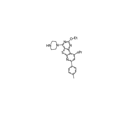 CCCc1cc(-c2ccc(C)cc2)nc2sc3c(N4CCNCC4)nc(OCC)nc3c12